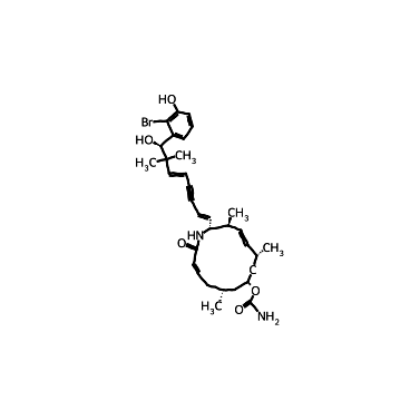 C[C@@H]1C/C=C\C(=O)N[C@H](/C=C/C#C/C=C/C(C)(C)[C@@H](O)c2cccc(O)c2Br)[C@@H](C)/C=C/[C@H](C)C[C@H](OC(N)=O)C1